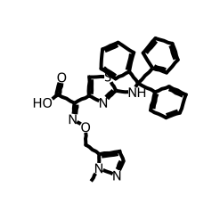 Cn1nccc1CO/N=C(/C(=O)O)c1csc(NC(c2ccccc2)(c2ccccc2)c2ccccc2)n1